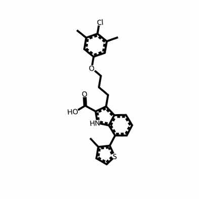 Cc1ccsc1-c1cccc2c(CCCOc3cc(C)c(Cl)c(C)c3)c(C(=O)O)[nH]c12